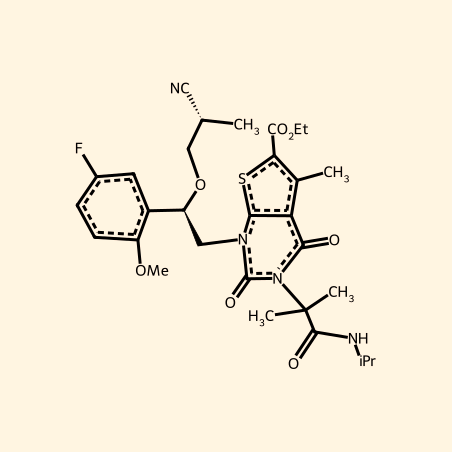 CCOC(=O)c1sc2c(c1C)c(=O)n(C(C)(C)C(=O)NC(C)C)c(=O)n2C[C@H](OC[C@@H](C)C#N)c1cc(F)ccc1OC